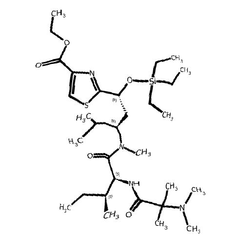 CCOC(=O)c1csc([C@@H](C[C@H](C(C)C)N(C)C(=O)[C@@H](NC(=O)C(C)(C)N(C)C)[C@@H](C)CC)O[Si](CC)(CC)CC)n1